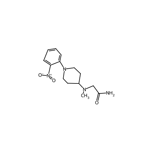 CN(CC(N)=O)C1CCN(c2ccccc2[N+](=O)[O-])CC1